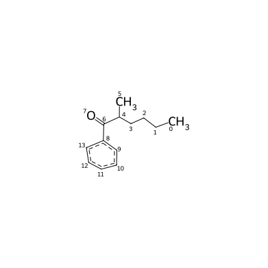 CCCCC(C)C(=O)c1ccccc1